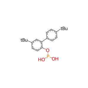 CC(C)(C)c1ccc(-c2cc(C(C)(C)C)ccc2OP(O)O)cc1